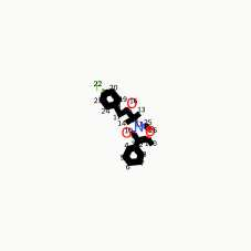 CC1=C(c2ccccc2)C(=O)N(C(C)(C)C(=O)Cc2ccc(F)cc2)CO1